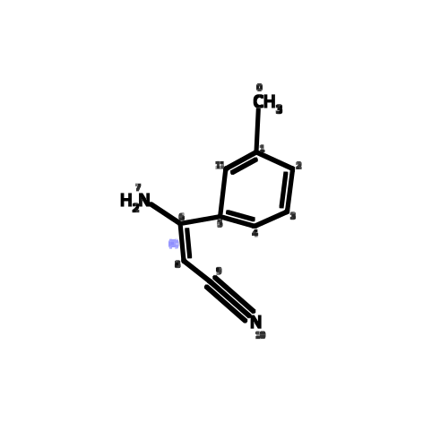 Cc1cccc(/C(N)=C\C#N)c1